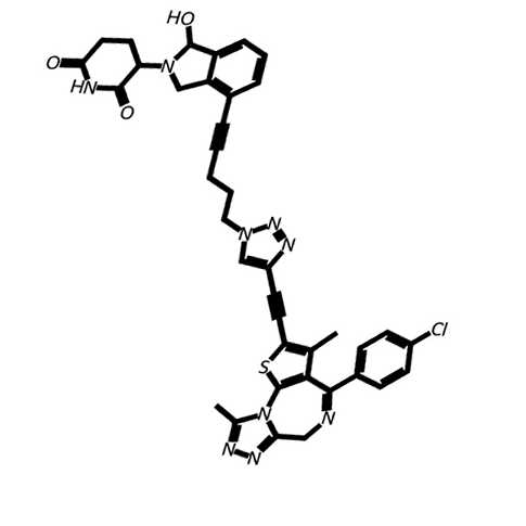 Cc1c(C#Cc2cn(CCCC#Cc3cccc4c3CN(C3CCC(=O)NC3=O)C4O)nn2)sc2c1C(c1ccc(Cl)cc1)=NCc1nnc(C)n1-2